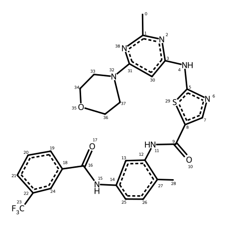 Cc1nc(Nc2ncc(C(=O)Nc3cc(NC(=O)c4cccc(C(F)(F)F)c4)ccc3C)s2)cc(N2CCOCC2)n1